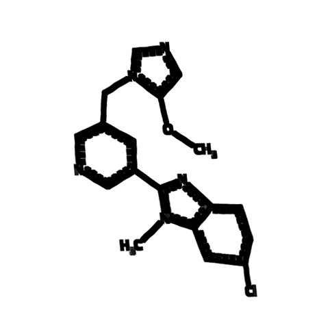 COc1cncn1Cc1cncc(-c2nc3ccc(Cl)cc3n2C)c1